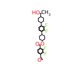 CC(O)C1CCC(c2ccc(C3CCC(OC(=O)c4ccc(C5CO5)c(F)c4F)CC3)c(F)c2F)CC1